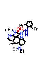 CC#Cc1c(-c2c(NC(=O)Nc3c(C(C)C)cccc3C(C)C)c(=O)n(CCCC)c3ncccc23)cccc1N(CC)CC